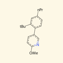 CCCc1ccc(-c2ccc(OC)nc2)c(C(C)(C)C)c1